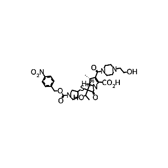 CC(O)C1(SC2CCN(C(=O)OCc3ccc([N+](=O)[O-])cc3)C2)C(=O)N2C(C(=O)O)=C(C(=O)N3CCN(CCO)CC3)[C@@H](C)[C@H]21